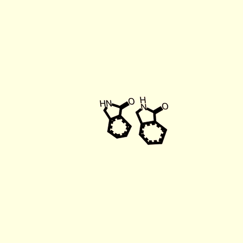 O=C1NCc2ccccc21.O=C1NCc2ccccc21